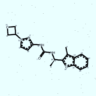 Cc1c([C@@H](C)NC(=O)Nc2ccn(C3COC3)n2)oc2ccccc12